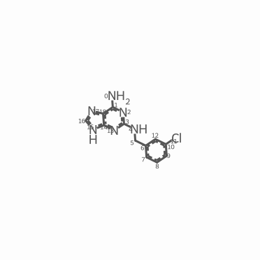 Nc1nc(NCc2cccc(Cl)c2)nc2[nH]cnc12